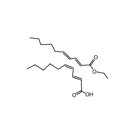 CCCCC/C=C\C=C\C(=O)O.CCCCCC=CC=CC(=O)OCC